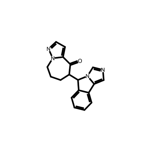 O=C1c2ccnn2CCCC1C1c2ccccc2-c2cncn21